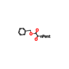 CCCCCC(=O)C(=O)OCc1ccccc1